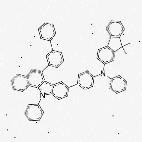 CC1(C)c2ccccc2-c2ccc(N(c3ccccc3)c3ccc(-c4ccc5c(c4)c4c(-c6cccc(-c7ccccc7)c6)cc6ccccc6c4n5-c4ccccc4)cc3)cc21